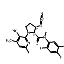 Cc1cc(C(F)(F)F)c(C#N)c(N2CC[C@@H](N=[N+]=[N-])[C@H]2C(=O)N(C)c2cc(Cl)c(F)cc2F)n1